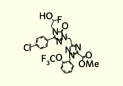 COC(=O)c1nc(Cn2nc(-c3ccc(Cl)cc3)n(CC(O)F)c2=O)nn1-c1ccccc1OC(F)(F)F